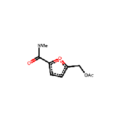 CNC(=O)c1ccc(COC(C)=O)o1